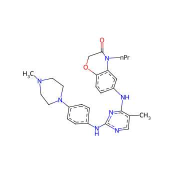 CCCN1C(=O)COc2ccc(Nc3nc(Nc4ccc(N5CCN(C)CC5)cc4)ncc3C)cc21